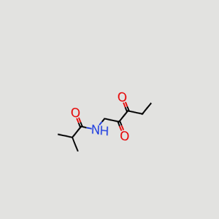 CCC(=O)C(=O)CNC(=O)C(C)C